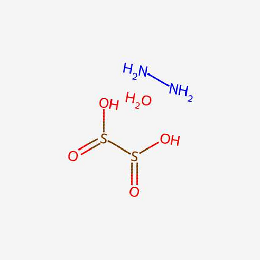 NN.O.O=S(O)S(=O)O